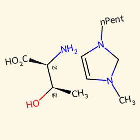 CCCCCN1C=CN(C)C1.C[C@@H](O)[C@H](N)C(=O)O